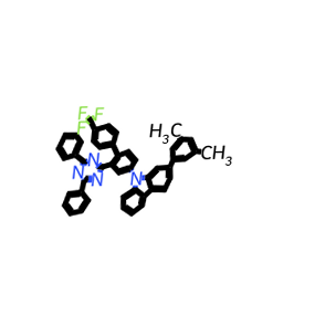 Cc1cc(C)cc(-c2ccc3c4ccccc4n(-c4ccc(-c5ccc(C(F)(F)F)cc5)c(-c5nc(-c6ccccc6)nc(-c6ccccc6)n5)c4)c3c2)c1